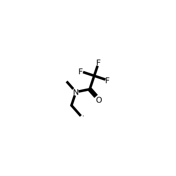 [CH2]CN(C)C(=O)C(F)(F)F